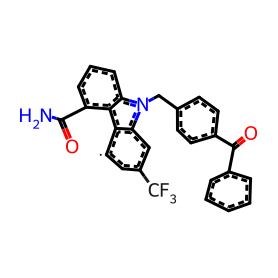 NC(=O)c1cccc2c1c1[c]cc(C(F)(F)F)cc1n2Cc1ccc(C(=O)c2ccccc2)cc1